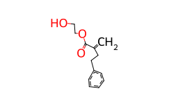 C=C(CCc1ccccc1)C(=O)OCCO